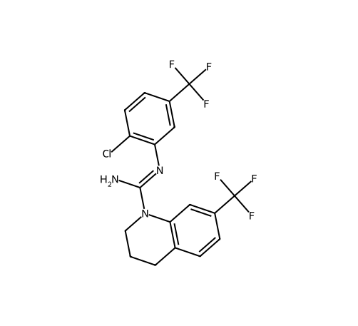 NC(=Nc1cc(C(F)(F)F)ccc1Cl)N1CCCc2ccc(C(F)(F)F)cc21